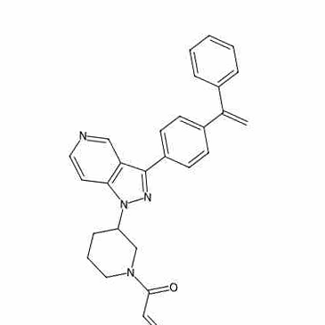 C=CC(=O)N1CCCC(n2nc(-c3ccc(C(=C)c4ccccc4)cc3)c3cnccc32)C1